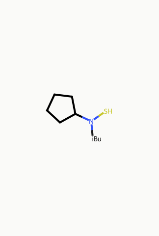 CCC(C)N(S)C1CCCC1